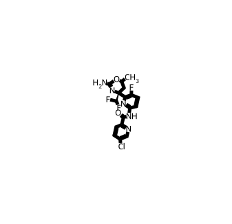 CC1C[C@@](c2nc(NC(=O)c3ccc(Cl)cn3)ccc2F)(C(F)F)N=C(N)O1